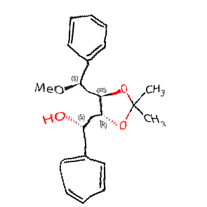 CO[C@@H](c1ccccc1)[C@H]1OC(C)(C)O[C@@H]1[C@@H](O)c1ccccc1